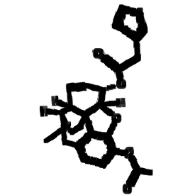 CC(=O)Oc1ccc2c3c1O[C@H]1[C@@H](OC(=O)Cc4ccsc4)C=C[C@H]4[C@@H](C2)N(C)CC[C@@]341